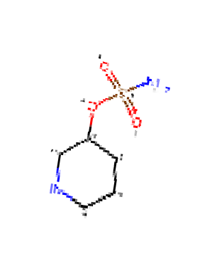 NS(=O)(=O)OC1CCCNC1